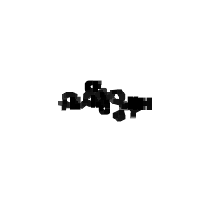 Cc1c[nH]nc1[C@@H](c1cccc(-n2cc3c(C(F)(F)F)cc(CN4CCCC(C)(C)C4)cn3c2=O)c1)C1CCC1